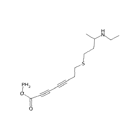 CCNC(C)CCSCCC#CC#CC(=O)OP